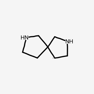 [CH]1CNCC12CCNC2